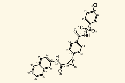 O=C(NS(=O)(=O)c1ccc(Cl)cc1)c1ccc([C@@H]2C[C@H]2C(=O)Nc2ccc3cnccc3c2)cc1